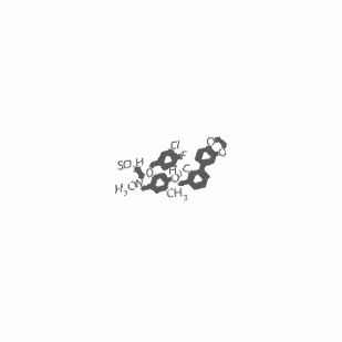 Cc1cc(CN(C)CCS(=O)(=O)O)c(OCc2ccc(F)c(Cl)c2)cc1OCc1cccc(-c2ccc3c(c2)OCCO3)c1C